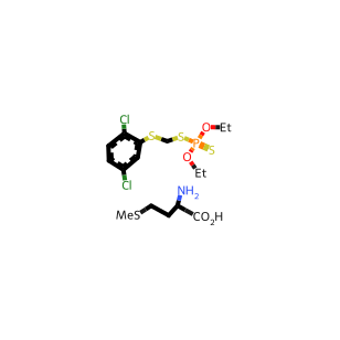 CCOP(=S)(OCC)SCSc1cc(Cl)ccc1Cl.CSCCC(N)C(=O)O